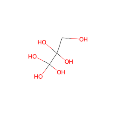 OCC(O)(O)C(O)(O)O